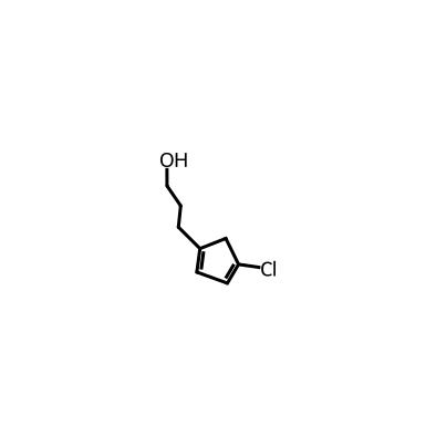 OCCCC1=CC=C(Cl)C1